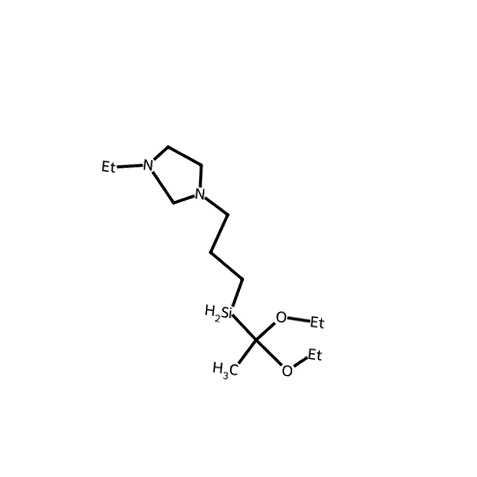 CCOC(C)(OCC)[SiH2]CCCN1CCN(CC)C1